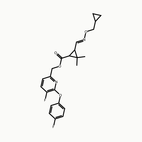 CC1(C)C(/C=N/OCC2CC2)C1C(=O)OCc1ccc(F)c(Oc2ccc(F)cc2)n1